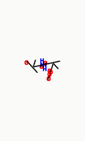 CCCCCCCCC(CCCCCCCCC(C)=O)C(CCCCCCCC)CCCCCCCCC(=O)NCCNC(=O)CCCCCCCCC(CCCCCCCC)C(CCCCCCCC)CCCCCCCCC(=O)OCCOCCCCOC